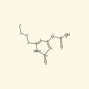 CCCCc1cc(OC(=O)O)cc(=O)[nH]1